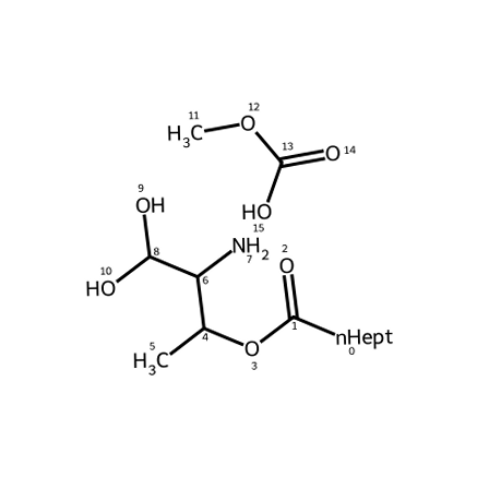 CCCCCCCC(=O)OC(C)C(N)C(O)O.COC(=O)O